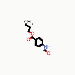 CCCCOC(=O)c1ccc(N[C]=O)cc1